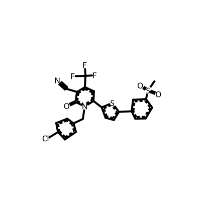 CS(=O)(=O)c1cccc(-c2ccc(-c3cc(C(F)(F)F)c(C#N)c(=O)n3Cc3ccc(Cl)cc3)s2)c1